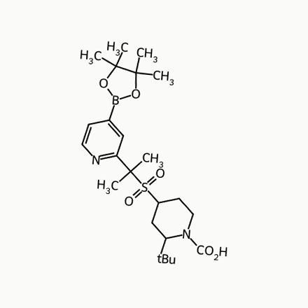 CC(C)(C)C1CC(S(=O)(=O)C(C)(C)c2cc(B3OC(C)(C)C(C)(C)O3)ccn2)CCN1C(=O)O